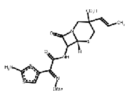 CC=CC1(C(=O)O)CS[C@@H]2C(NC(=O)C(=NOC)c3csc(N)n3)C(=O)N2C1